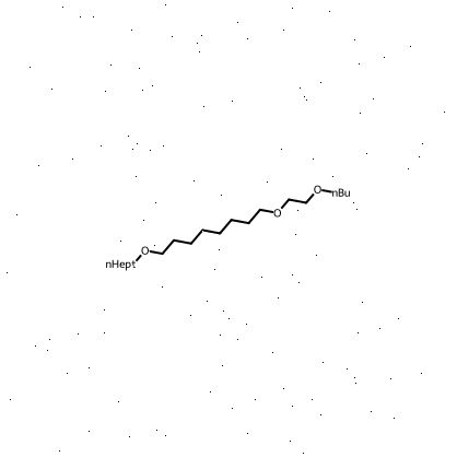 CCCCCCCOCCCCCCCCOCCOCCCC